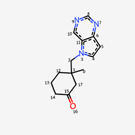 CC1(Cn2ccc3ncncc32)CCCC(=O)C1